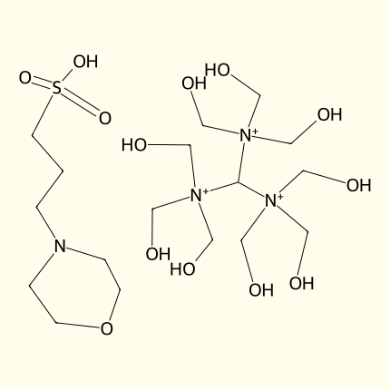 O=S(=O)(O)CCCN1CCOCC1.OC[N+](CO)(CO)C([N+](CO)(CO)CO)[N+](CO)(CO)CO